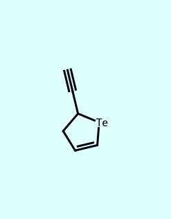 C#CC1CC=C[Te]1